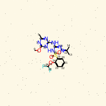 COc1nc(C)nc(NC(=NN=C(C)C)NS(=O)(=O)c2ccccc2OC(F)F)n1